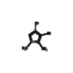 CCc1c(C(C)C)cc(C)n1C